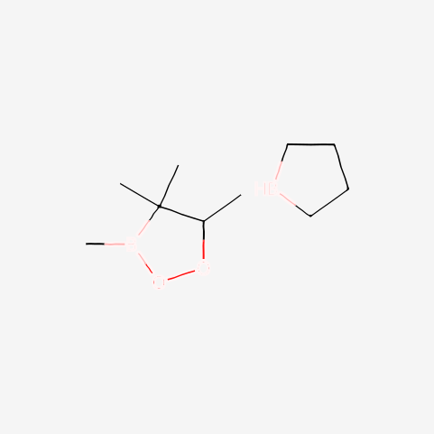 B1CCCC1.CB1OOC(C)C1(C)C